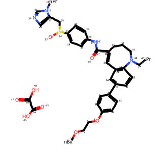 CCCCOCCOc1ccc(-c2ccc3c(c2)/C=C(/C(=O)Nc2ccc([S+]([O-])Cc4cncn4CCC)cc2)CCCN3CC(C)C)cc1.O=C(O)C(=O)O